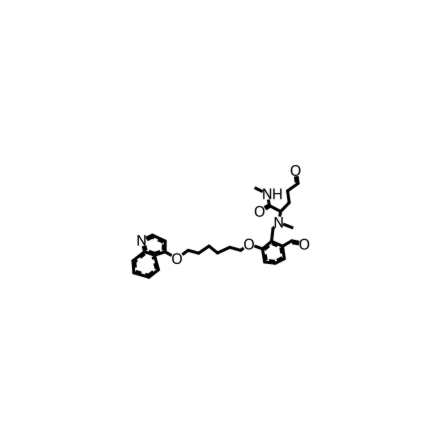 CNC(=O)C(CCC=O)N(C)Cc1c(C=O)cccc1OCCCCCCOc1ccnc2ccccc12